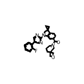 O=C(c1ccc2c(c1)N(c1ncc(-c3ccccc3F)cn1)CC21CC1)N1CCCC2(COC2)C1